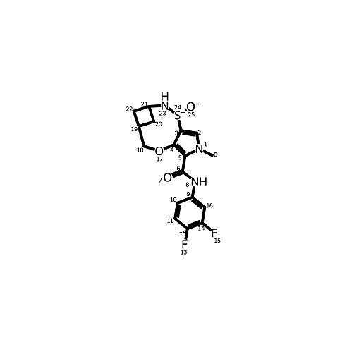 Cn1cc2c(c1C(=O)Nc1ccc(F)c(F)c1)OCC1CC(C1)N[S+]2[O-]